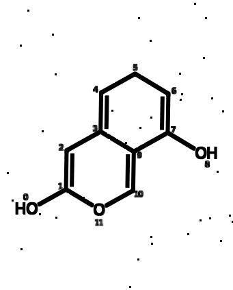 OC1=CC2=CCC=C(O)C2=CO1